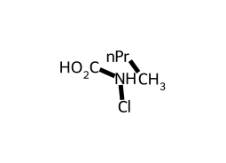 CCCC.O=C(O)NCl